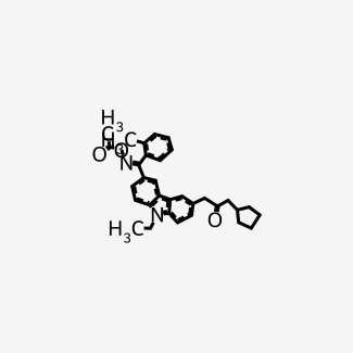 CCn1c2ccc(CC(=O)CC3CCCC3)cc2c2cc(C(=NOC(C)=O)c3ccccc3C)ccc21